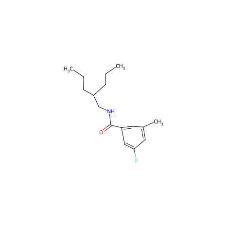 CCCC(CCC)CNC(=O)c1cc(C)cc(F)c1